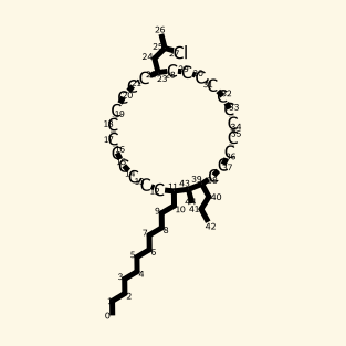 CCCCCCCCCCCC1CCCCCCCCCCCC(CC(C)Cl)CCCCCCCCCCCC(CCC)C1C